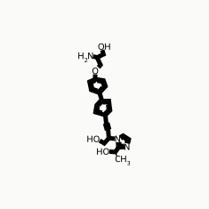 C[C@H](O)c1nccn1C(C#Cc1ccc(-c2ccc(OCC(N)CO)cc2)cc1)CO